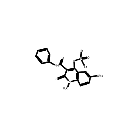 CCP(=O)(CC)Oc1c(C(=O)Nc2ccccc2)c(=O)n(C)c2ccc(SC)cc12